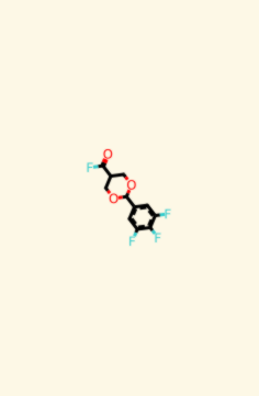 O=C(F)C1COC(c2cc(F)c(F)c(F)c2)OC1